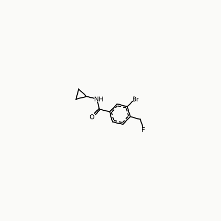 O=C(NC1CC1)c1ccc(CF)c(Br)c1